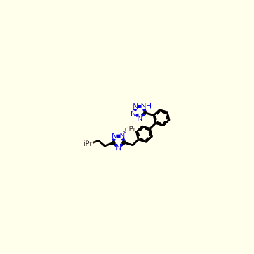 CCCn1nc(CCC(C)C)nc1Cc1ccc(-c2ccccc2-c2nnn[nH]2)cc1